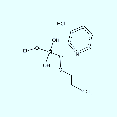 CCO[Si](O)(O)OOCCC(Cl)(Cl)Cl.Cl.c1cnnnc1